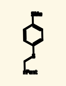 CCCCCCSc1ccc(SC)cc1